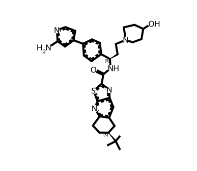 CC(C)(C)[C@H]1CCc2nc3sc(C(=O)N[C@H](CCN4CCC(O)CC4)c4ccc(-c5ccnc(N)c5)cc4)nc3cc2C1